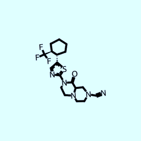 N#CN1CCN2CCN(c3ncc([C@H]4CCCC[C@@H]4C(F)(F)F)s3)C(=O)C2C1